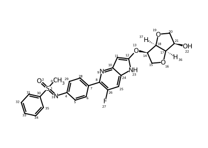 CS(=O)(=Nc1ccc(-c2nc3cc(O[C@@H]4CO[C@H]5[C@@H]4OC[C@H]5O)[nH]c3cc2F)cc1)c1ccccc1